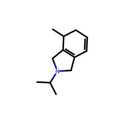 CC1CC=CC2=C1CN(C(C)C)C2